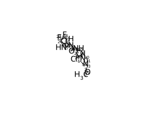 COCCN1CCN(c2ncc(NC(=O)Nc3c[nH]c4cc(F)c(F)cc34)cc2Cl)CC1